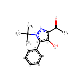 CC(=O)c1nn(C(C)(C)C)c(-c2ccccc2)c1O